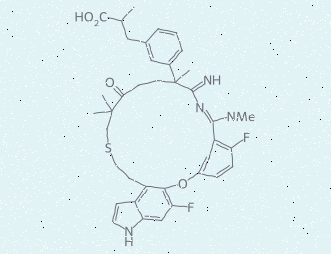 CN/C1=N\C(=N)C(C)(c2cccc(CC(C)C(=O)O)c2)CCC(=O)C(C)(C)CSCCc2c(c(F)cc3[nH]ccc23)Oc2ccc(F)c1c2